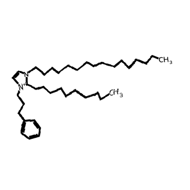 CCCCCCCCCCCCCCCCn1cc[n+](CCCc2ccccc2)c1CCCCCCCCCC